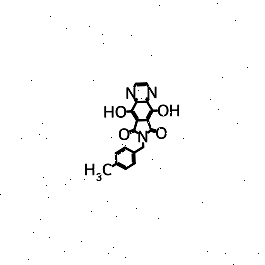 Cc1ccc(CN2C(=O)c3c(c(O)c4nccnc4c3O)C2=O)cc1